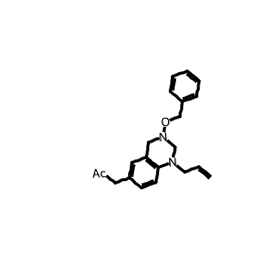 C=CCN1CN(OCc2ccccc2)Cc2cc(CC(C)=O)ccc21